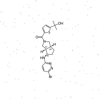 CC(C)(O)c1ccc(C(=O)N2C[C@@H]3CC[C@@H](Nc4ccc(Br)nn4)[C@@H]3C2)s1